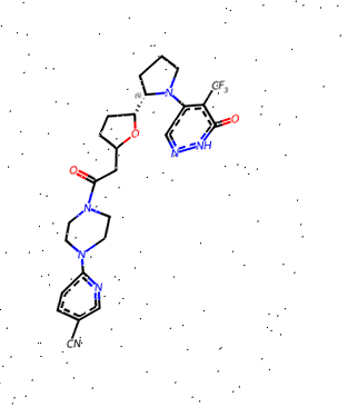 N#Cc1ccc(N2CCN(C(=O)CC3CCC([C@@H]4CCCN4c4cn[nH]c(=O)c4C(F)(F)F)O3)CC2)nc1